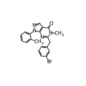 Cc1ccccc1-n1ncc2c(=O)n(C)c(Cc3cccc(Br)c3)nc21